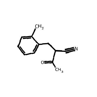 CC(=O)C(C#N)Cc1ccccc1C